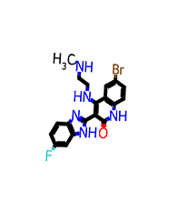 CNCCNc1c(-c2nc3ccc(F)cc3[nH]2)c(=O)[nH]c2ccc(Br)cc12